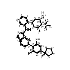 C[C@H]1C[C@@H](c2ccncc2Nc2ncc3ccc(-c4c(F)cc(C5(F)CCCC5)cc4F)nn23)C[C@@H](N)[C@@H]1S(C)(=O)=O